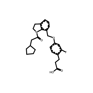 O=C(O)CCc1ccc(OCc2cccc3c2N(C(=O)CC2CCCC2)CC3)cc1F